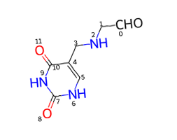 O=CCNCc1c[nH]c(=O)[nH]c1=O